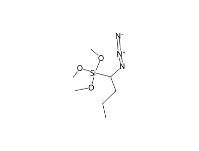 CCCC(N=[N+]=[N-])[Si](OC)(OC)OC